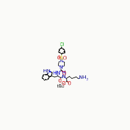 CC(C)(C)OC(=O)C(CCCCN)NC(=O)C(Cc1c[nH]c2ccccc12)NC(=O)N1CCN(S(=O)(=O)c2ccc(Cl)cc2)CC1